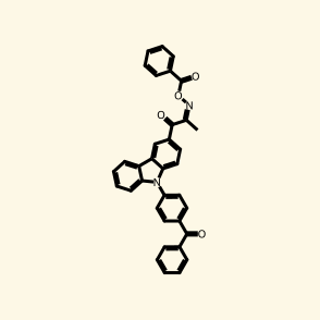 C/C(=N/OC(=O)c1ccccc1)C(=O)c1ccc2c(c1)c1ccccc1n2-c1ccc(C(=O)c2ccccc2)cc1